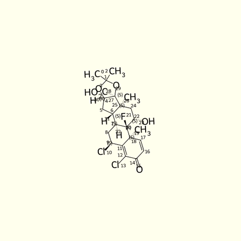 CC1(C)O[C@@H]2C[C@H]3[C@@H]4C[C@H](Cl)C5=C(Cl)C(=O)C=C[C@]5(C)[C@@]4(F)[C@@H](O)C[C@]3(C)[C@]2(C(=O)O)O1